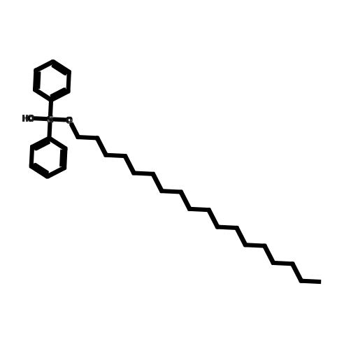 CCCCCCCCCCCCCCCCCCO[Si](O)(c1ccccc1)c1ccccc1